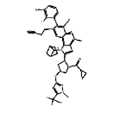 Cc1nc2c(F)c(-c3cccc(Cl)c3Cl)c(CCC#N)cc2c2c1cc(C1CC(Oc3cc(C(F)(F)F)n(C)n3)CN1C(=O)C1CC1)n2C1C2CNC1C2